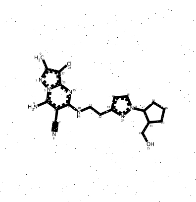 Cc1nn2c(N)c(C#N)c(NCCc3ccn(C4CCCC4CO)n3)nc2c1Cl